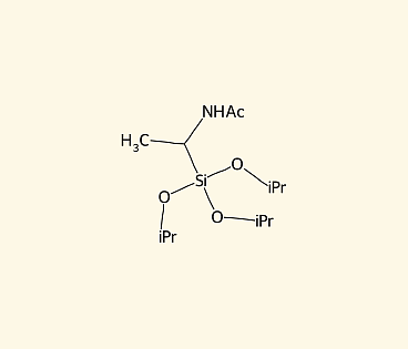 CC(=O)NC(C)[Si](OC(C)C)(OC(C)C)OC(C)C